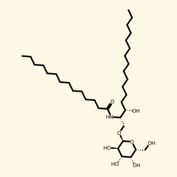 CCCCCCCCCCCCCC(=O)N[C@@H](CO[C@H]1O[C@H](CO)[C@H](O)[C@H](O)[C@H]1O)[C@@H](O)CCCCCCCCCCCCC